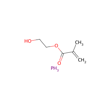 C=C(C)C(=O)OCCO.P